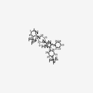 C[C@@H]1CN(c2ncccc2C(F)(F)F)CCN1c1nc(-c2ccccc2)c(-c2ccc(C(F)(F)F)cc2)[nH]1